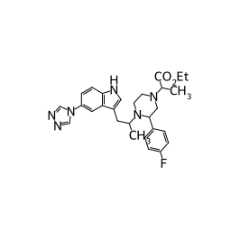 CCOC(=O)C(C)N1CCN(C(C)Cc2c[nH]c3ccc(-n4cnnc4)cc23)C(c2ccc(F)cc2)C1